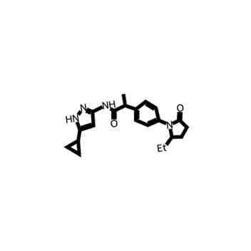 CCC1CCC(=O)N1c1ccc(C(C)C(=O)Nc2cc(C3CC3)[nH]n2)cc1